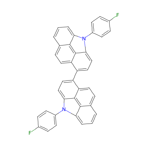 Fc1ccc(-n2c3cccc4ccc5c(-c6ccc7c8c6ccc6cccc(c68)n7-c6ccc(F)cc6)ccc2c5c43)cc1